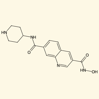 O=C(NO)c1cnc2cc(C(=O)NC3CCNCC3)ccc2c1